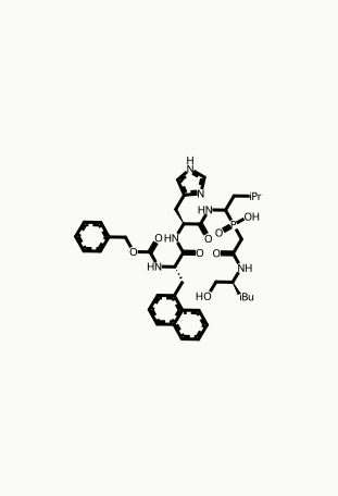 CCC(C)[C@@H](CO)NC(=O)CP(=O)(O)C(CC(C)C)NC(=O)[C@H](Cc1c[nH]cn1)NC(=O)[C@H](Cc1cccc2ccccc12)NC(=O)OCc1ccccc1